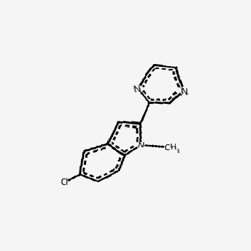 Cn1c(-c2cnccn2)cc2cc(Cl)ccc21